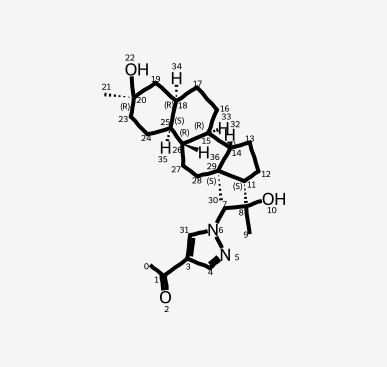 CC(=O)c1cnn(CC(C)(O)[C@H]2CC[C@H]3[C@@H]4CC[C@@H]5C[C@](C)(O)CC[C@@H]5[C@H]4CC[C@]23C)c1